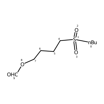 CCCCS(=O)(=O)CCCCOC=O